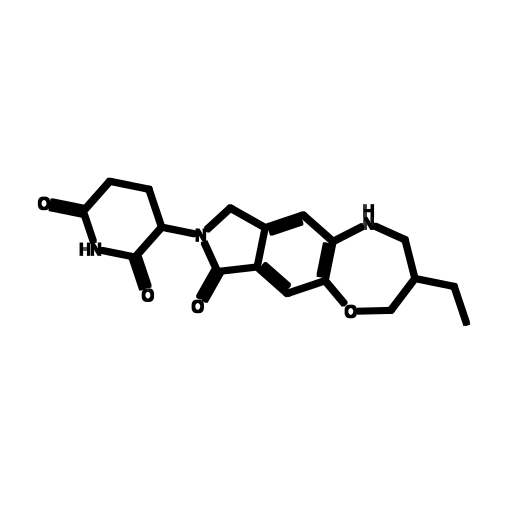 CCC1CNc2cc3c(cc2OC1)C(=O)N(C1CCC(=O)NC1=O)C3